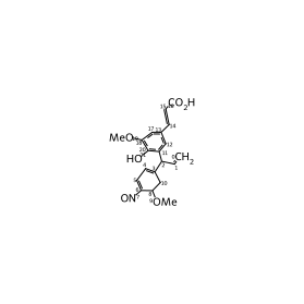 C=CC(C1=CC=C(N=O)C(OC)C1)c1cc(/C=C/C(=O)O)cc(OC)c1O